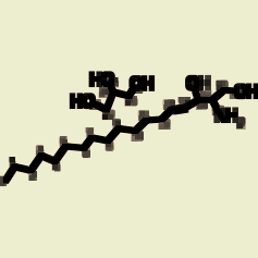 CCCCCCCCCCCCC/C=C/C(O)C(N)CO.OCC(O)CO